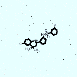 CC1(C)CC(c2cccc(NS(=O)(=O)c3cccc(F)c3)c2)Nc2ccc(Cl)cc21